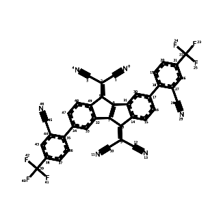 N#CC(C#N)=C1C2=C(C(=C(C#N)C#N)c3ccc(-c4ccc(C(F)(F)F)cc4C#N)cc32)c2cc(-c3ccc(C(F)(F)F)cc3C#N)ccc21